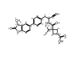 Cn1c(=O)oc2ccc(-c3ccc(CC(C#N)NC(=O)C4(C(F)F)CN(C(=O)O)C4)cc3)cc21